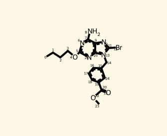 CCCCOc1nc(N)c2nc(Br)n(Cc3cccc(C(=O)OC)c3)c2n1